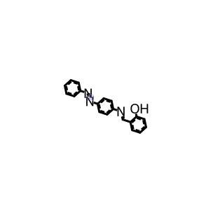 Oc1ccccc1C=Nc1ccc(/N=N/c2ccccc2)cc1